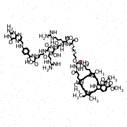 C=CC1=C(C)c2cc3[nH]c(cc4nc(cc5[nH]c(cc1n2)c(C)c5CCC(=O)NNC(=O)OCCSSC[C@H](NC(=O)[C@H](CCCNC(=N)N)NC(=O)C[C@@H](NC(=O)[C@H](CCCNC(=N)N)NC(=O)CC[C@H](NC(=O)c1ccc(NCc2cnc5nc(N)[nH]c(=O)c5n2)cc1)C(=O)O)C(=O)O)C(=O)O)C(CCC(=O)OC)=C4C)[C@]1(C)C3=CC=C(C(=O)OC)[C@@H]1C(=O)OC